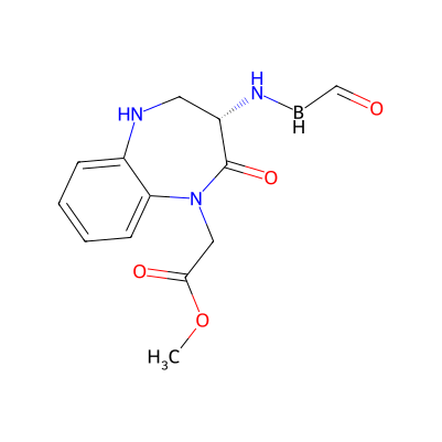 COC(=O)CN1C(=O)[C@@H](NBC=O)CNc2ccccc21